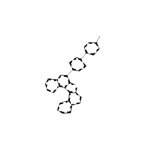 CC(C)c1ccc(-c2ccc(-c3cc4ccccc4c4c3oc3ccc5ccccc5c34)cc2)cc1